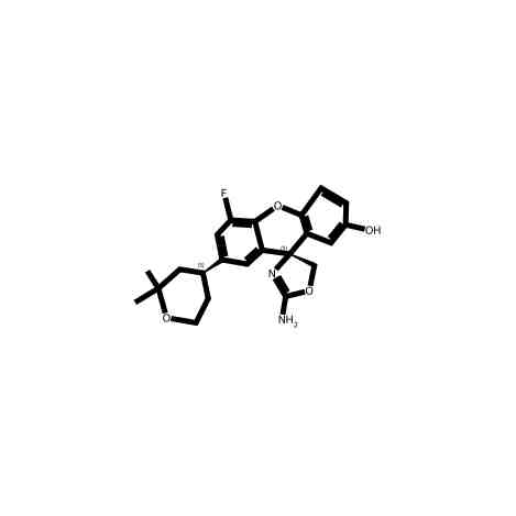 CC1(C)C[C@@H](c2cc(F)c3c(c2)[C@]2(COC(N)=N2)c2cc(O)ccc2O3)CCO1